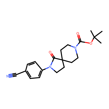 CC(C)(C)OC(=O)N1CCC2(CC1)CCN(c1ccc(C#N)cc1)C2=O